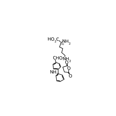 N.NCCCC[C@H](N)C(=O)O.O=C1CCC(=O)O1.O=Cc1ccc(-c2ccccc2)cc1